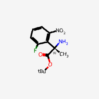 CC(C)(C)OC(=O)[C@@](C)(N)c1c(F)cccc1[N+](=O)[O-]